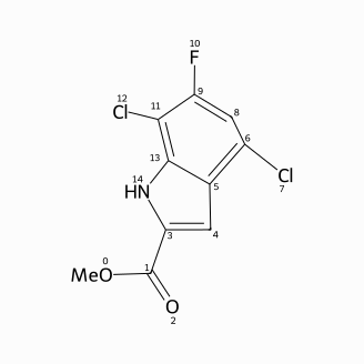 COC(=O)c1cc2c(Cl)cc(F)c(Cl)c2[nH]1